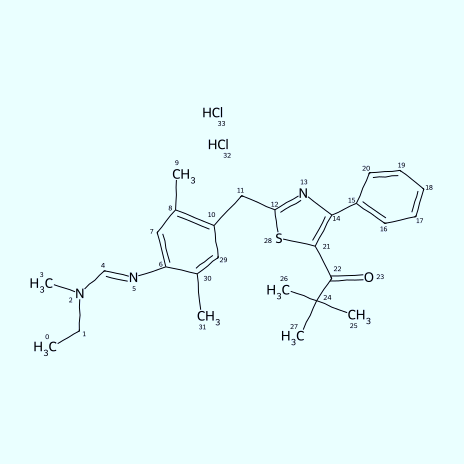 CCN(C)C=Nc1cc(C)c(Cc2nc(-c3ccccc3)c(C(=O)C(C)(C)C)s2)cc1C.Cl.Cl